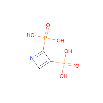 O=P(O)(O)C1=CN=C1P(=O)(O)O